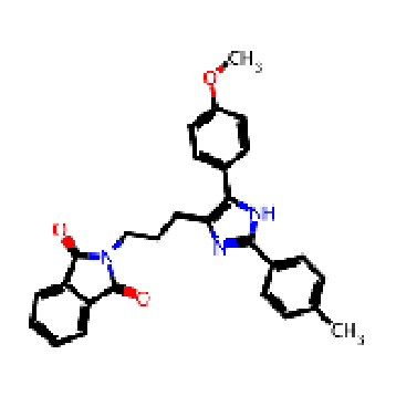 COc1ccc(-c2[nH]c(-c3ccc(C)cc3)nc2CCCN2C(=O)c3ccccc3C2=O)cc1